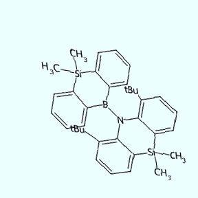 CC(C)(C)c1cccc2c1N(B1c3ccccc3[Si](C)(C)c3ccccc31)c1c(C(C)(C)C)cccc1[Si]2(C)C